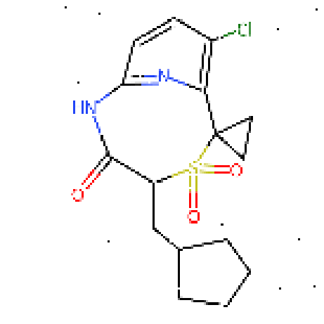 O=C1Nc2ccc(Cl)c(n2)C2(CC2)S(=O)(=O)C1CC1CCCC1